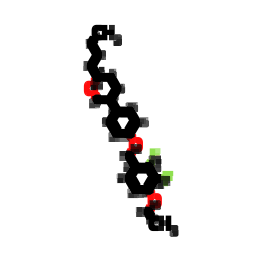 CCCCC1CCC(c2ccc(OCc3ccc(OCC)c(F)c3F)cc2)CO1